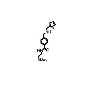 CCCCCCCCCCCCNC(=O)c1ccc(CNCc2cccs2)cc1